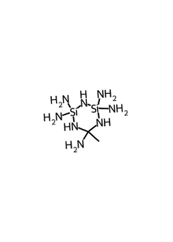 CC1(N)N[Si](N)(N)N[Si](N)(N)N1